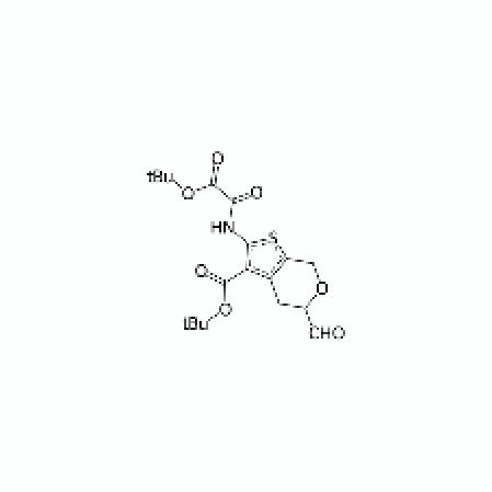 CC(C)(C)OC(=O)C(=O)Nc1sc2c(c1C(=O)OC(C)(C)C)CC(C=O)OC2